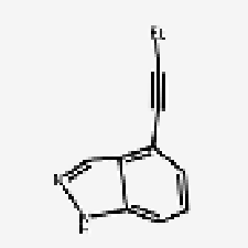 CCC#Cc1cccc2[nH]ncc12